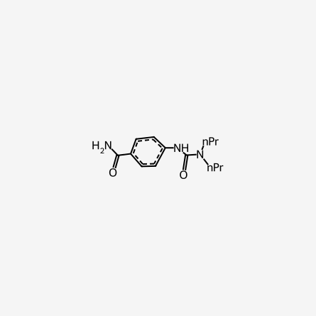 CCCN(CCC)C(=O)Nc1ccc(C(N)=O)cc1